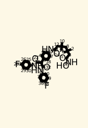 CC(C)(CC(=O)NO)CC(C)(C)CC(=O)Nc1ccc(C(C(=O)Nc2ccc(F)cc2)C(=O)Nc2ccc(F)cc2)cc1